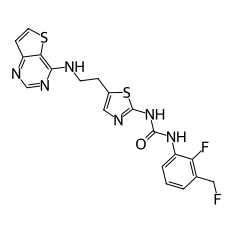 O=C(Nc1ncc(CCNc2ncnc3ccsc23)s1)Nc1cccc(CF)c1F